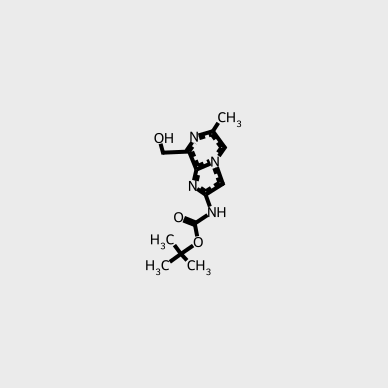 Cc1cn2cc(NC(=O)OC(C)(C)C)nc2c(CO)n1